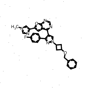 Cn1cnc(-c2cc3c(-c4cn(C5CC(OCc6ccccc6)C5)nc4-c4ccc(F)cc4)ncnc3o2)c1